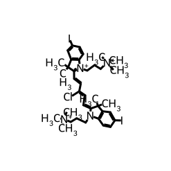 CC1(C)C(/C=C/C(Cl)=C/C=C2/N(CCC[N+](C)(C)C)c3ccc(I)cc3C2(C)C)=[N+](CCC[N+](C)(C)C)c2ccc(I)cc21